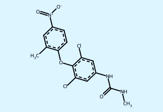 CNC(=O)Nc1cc(Cl)c(Oc2ccc([N+](=O)[O-])cc2C)c(Cl)c1